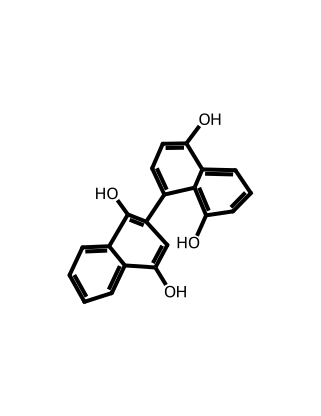 Oc1cc(-c2ccc(O)c3cccc(O)c23)c(O)c2ccccc12